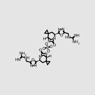 N=C(N)NCc1nnc([C@@H]2CC3(CC3)[C@@H]3CN2C(=O)N3OS(=O)(=O)ON2C(=O)N3C[C@H]2C2(CC2)C[C@H]3c2nnc(CNC(=N)N)o2)o1